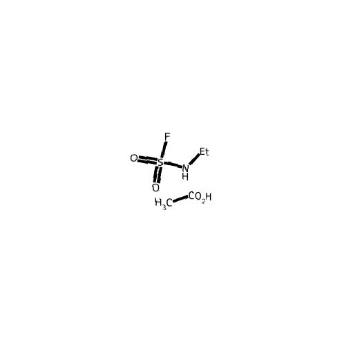 CC(=O)O.CCNS(=O)(=O)F